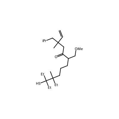 C=CC(C)(CC(=O)C(CCCC(C)(CC)C(S)(CC)CC)COC)CC(C)C